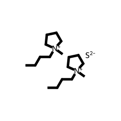 CCCC[N+]1(C)CCCC1.CCCC[N+]1(C)CCCC1.[S-2]